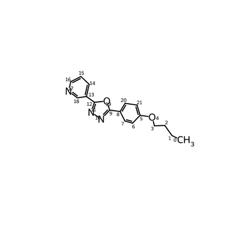 CCCCOc1ccc(-c2nnc(-c3cccnc3)o2)cc1